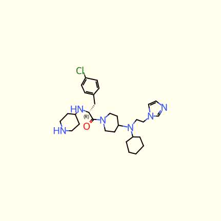 O=C([C@@H](Cc1ccc(Cl)cc1)NC1CCNCC1)N1CCC(N(CCn2ccnc2)C2CCCCC2)CC1